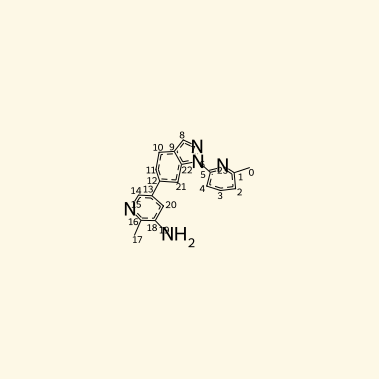 Cc1cccc(-n2ncc3ccc(-c4cnc(C)c(N)c4)cc32)n1